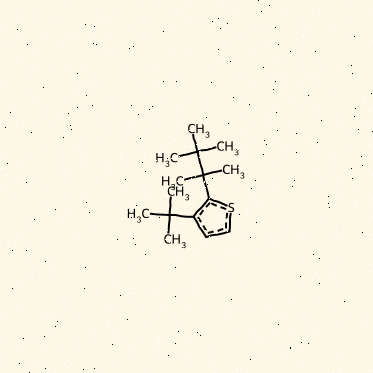 CC(C)(C)c1ccsc1C(C)(C)C(C)(C)C